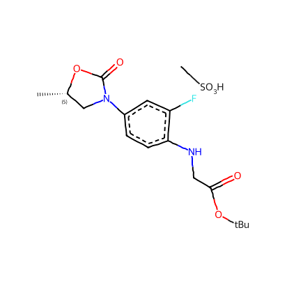 CS(=O)(=O)O.C[C@H]1CN(c2ccc(NCC(=O)OC(C)(C)C)c(F)c2)C(=O)O1